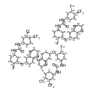 Cc1cnc2ccc(Oc3cc(NC(=O)Nc4ccc(Cl)c(C(F)(F)F)c4)ccc3F)cc2n1.O=C(Nc1ccc(C(F)(F)F)c(Cl)c1)Nc1ccc(F)c(Oc2ccc3nccnc3c2)c1.O=C(Nc1ccc(C(F)(F)F)c(F)c1)Nc1ccc(F)c(Oc2ccc3nccnc3c2)c1